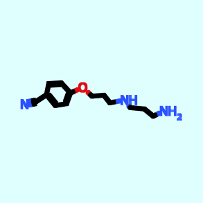 N#Cc1ccc(OCCCNCCCN)cc1